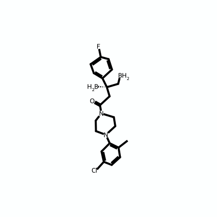 BC[C@@](B)(CC(=O)N1CCN(c2cc(Cl)ccc2C)CC1)c1ccc(F)cc1